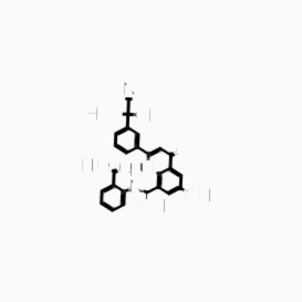 Cc1cc([C@@H](C)Nc2ccccc2C(=O)O)c2oc(-c3cccc(C(C)(C)C#N)c3)cc(=O)c2c1